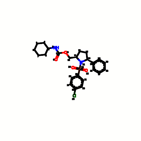 O=C(NC1CCCCC1)OC[C@H]1CC[C@@H](c2ccccc2)N1S(=O)(=O)c1ccc(Cl)cc1